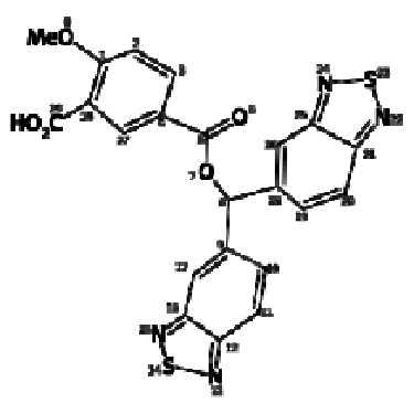 COc1ccc(C(=O)OC(c2ccc3nsnc3c2)c2ccc3nsnc3c2)cc1C(=O)O